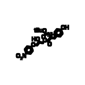 CC(C)(C)OC(=O)N[C@@H](Cc1ccc(O)cc1)C(=O)OCC(O)COc1ccc([N+](=O)[O-])cc1